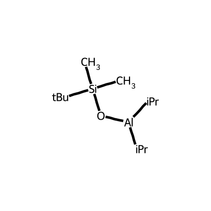 C[CH](C)[Al]([O][Si](C)(C)C(C)(C)C)[CH](C)C